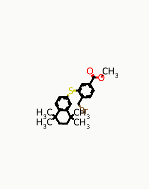 COC(=O)c1ccc(CBr)c(Sc2ccc3c(c2)C(C)(C)CCC3(C)C)c1